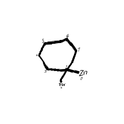 [Zn][C]1(Br)CCCCC1